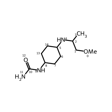 COCC(C)NC1CCC(NC(N)=O)CC1